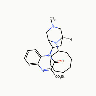 CCOC(=O)c1nc2ccccc2n([C@@H]2C[C@@H]3CN(C)CC2N3C2CCCCCCC2)c1=O